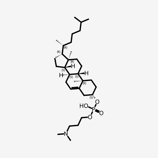 CC(C)CCC[C@@H](C)[C@H]1CC[C@H]2[C@@H]3CC=C4C[C@@H](OP(=O)(O)OCCCN(C)C)CC[C@]4(C)[C@H]3CC[C@]12C